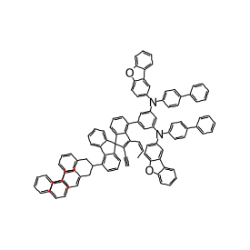 C#CC1=C(/C=C\C)c2c(-c3cc(N(c4ccc(-c5ccccc5)cc4)c4ccc5oc6ccccc6c5c4)cc(N(c4ccc(-c5ccccc5)cc4)c4ccc5oc6ccccc6c5c4)c3)cccc2C12c1ccccc1-c1c(C(Cc3ccc(-c4ccccc4)cc3)Cc3cccc(-c4ccccc4)c3)cccc12